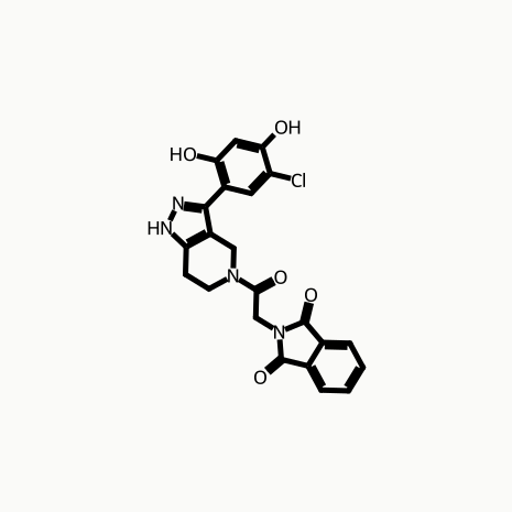 O=C(CN1C(=O)c2ccccc2C1=O)N1CCc2[nH]nc(-c3cc(Cl)c(O)cc3O)c2C1